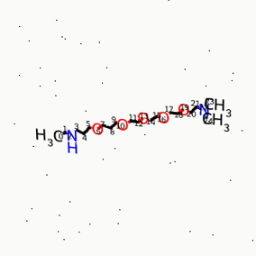 CCNCCCOCCCOCCOCCOCCOCCN(C)C